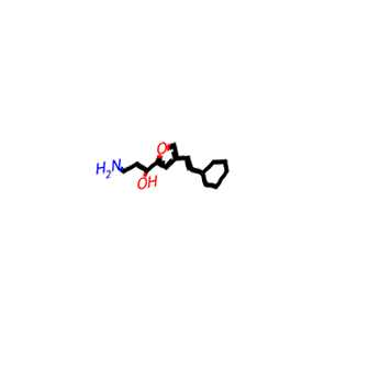 NCCC(O)c1cc(/C=C/C2CCCCC2)co1